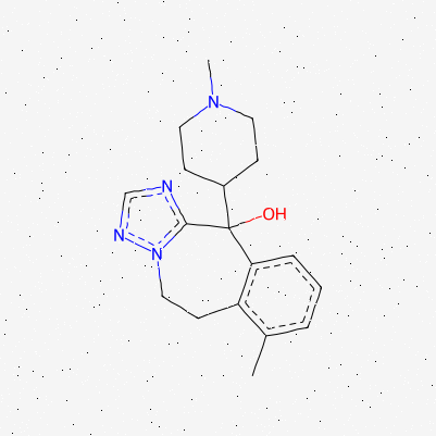 Cc1cccc2c1CCn1ncnc1C2(O)C1CCN(C)CC1